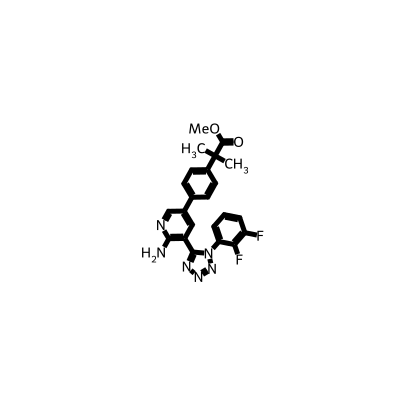 COC(=O)C(C)(C)c1ccc(-c2cnc(N)c(-c3nnnn3-c3cccc(F)c3F)c2)cc1